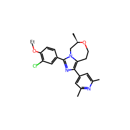 CCOc1ccc(-c2nc(-c3cc(C)nc(C)c3)c3n2C[C@@H](C)OCC3)cc1Cl